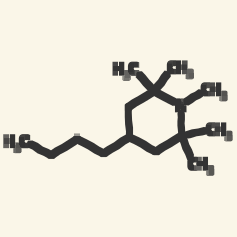 CC[CH]CC1CC(C)(C)N(C)C(C)(C)C1